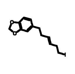 ICCC=CCCc1ccc2c(c1)OCO2